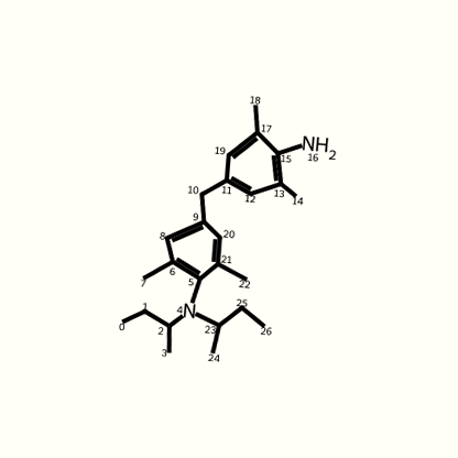 CCC(C)N(c1c(C)cc(Cc2cc(C)c(N)c(C)c2)cc1C)C(C)CC